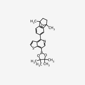 CC12CCC(C)(O1)c1cc(-c3ncc(B4OC(C)(C)C(C)(C)O4)c4sccc34)ccc12